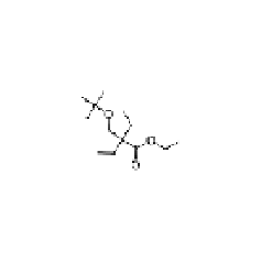 CCOC(=O)C(CC)(CC)COC(C)(C)C